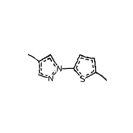 Cc1cnn(-c2ccc(C)s2)c1